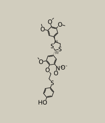 COc1cc([C@H]2CS[C@H](c3cc(OC)c(OCCSc4ccc(O)cc4)c([N+](=O)[O-])c3)S2)cc(OC)c1OC